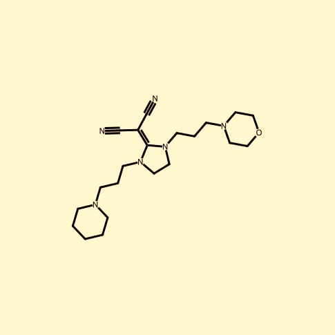 N#CC(C#N)=C1N(CCCN2CCCCC2)CCN1CCCN1CCOCC1